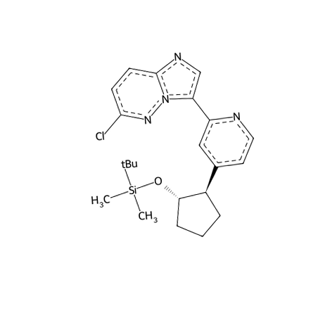 CC(C)(C)[Si](C)(C)O[C@H]1CCC[C@@H]1c1ccnc(-c2cnc3ccc(Cl)nn23)c1